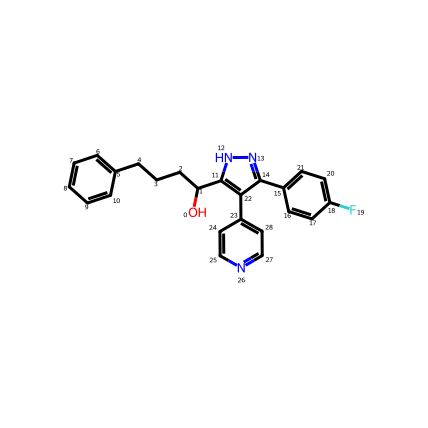 OC(CCCc1ccccc1)c1[nH]nc(-c2ccc(F)cc2)c1-c1ccncc1